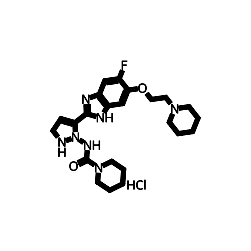 Cl.O=C(NN1NCC=C1c1nc2cc(F)c(OCCN3CCCCC3)cc2[nH]1)N1CCCCC1